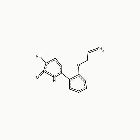 C=CCOc1ccccc1-c1ccc(C#N)c(=O)[nH]1